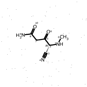 CN[C@H](C#N)C(=O)CC(N)=O